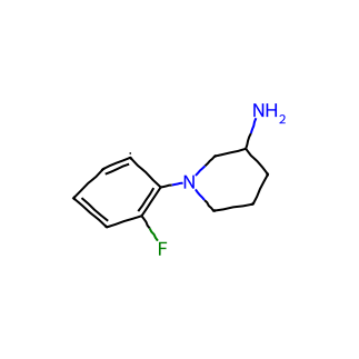 NC1CCCN(c2[c]cccc2F)C1